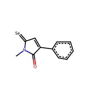 CN1C(=O)C(c2ccccc2)=CC1=[Se]